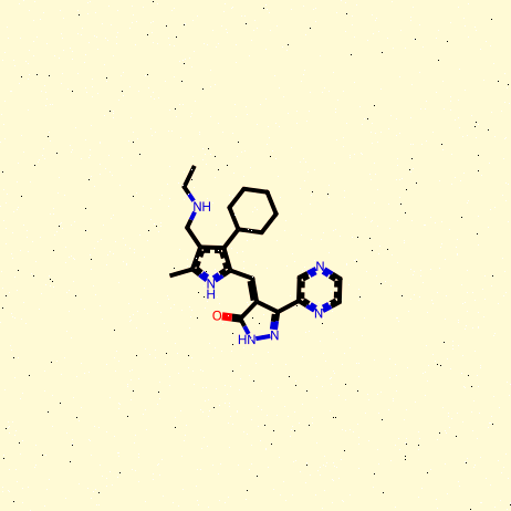 CCNCc1c(C)[nH]c(C=C2C(=O)NN=C2c2cnccn2)c1C1CCCCC1